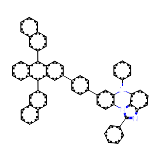 c1ccc(-c2nc3cccc4c3n2-c2ccc(-c3ccc(-c5ccc6c(-c7ccc8ccccc8c7)c7ccccc7c(-c7ccc8ccccc8c7)c6c5)cc3)cc2N4c2ccccc2)cc1